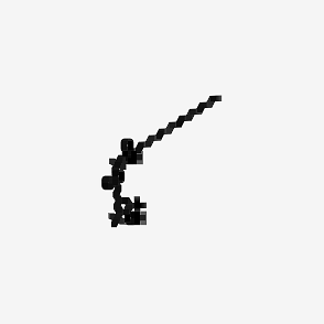 CCCCCCCCCCCCCCCCCC(=O)NCC(C)(C)COC(=O)CCc1cc(C(C)(C)C)c(O)c(C(C)(C)C)c1